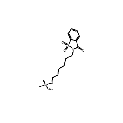 CC(C)(C)[Si](C)(C)OCCCCCCN1C(=O)c2ccccc2S1(=O)=O